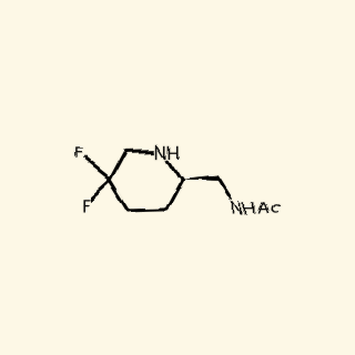 CC(=O)NC[C@H]1CCC(F)(F)CN1